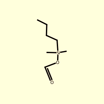 CCCC[Si](C)(C)OC=O